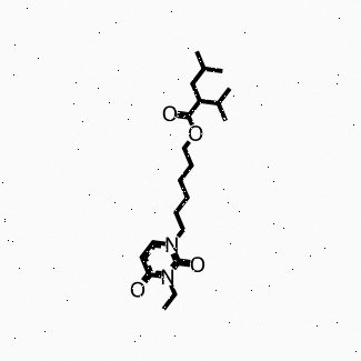 CCn1c(=O)ccn(CCCCCCOC(=O)C(CC(C)C)C(C)C)c1=O